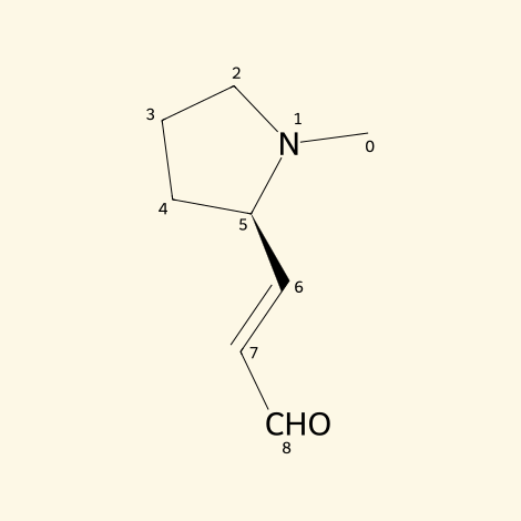 CN1CCC[C@@H]1C=CC=O